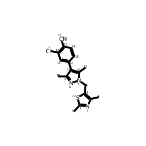 Cc1nc(C)c(Cn2nc(C)c(-c3ccc(C#N)c(Cl)c3)c2C)s1